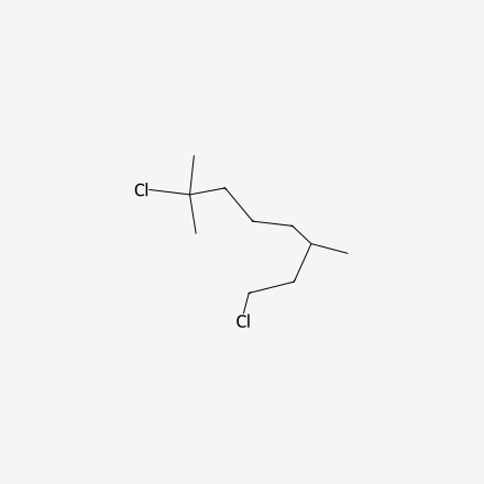 CC(CCCl)CCCC(C)(C)Cl